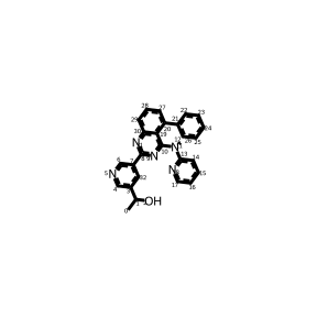 CC(O)c1cncc(-c2nc(N(C)c3ccccn3)c3c(-c4ccccc4)cccc3n2)c1